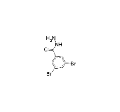 NNC(=O)c1cc(Br)cc(Br)c1